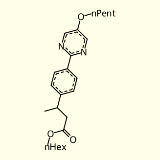 CCCCCCOC(=O)CC(C)c1ccc(-c2ncc(OCCCCC)cn2)cc1